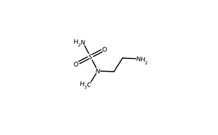 CN(CCN)S(N)(=O)=O